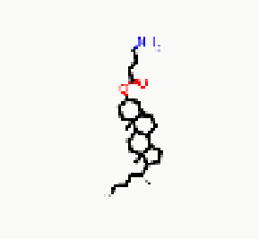 CC(C)CCC[C@@H](C)C1CCC2C3CC=C4CC(OC(=O)CCCN)CCC4(C)C3CCC21C